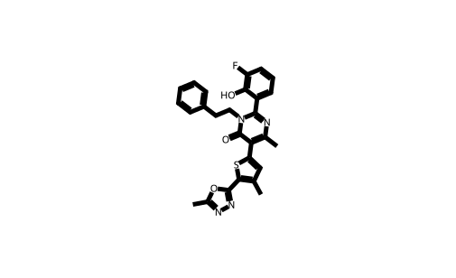 Cc1nnc(-c2sc(-c3c(C)nc(-c4cccc(F)c4O)n(CCc4ccccc4)c3=O)cc2C)o1